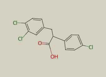 O=C(O)C(Cc1ccc(Cl)c(Cl)c1)c1ccc(Cl)cc1